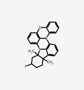 CC12CCC(F)CC1(C)N1c3cccc4c3B(c3ccccc3O4)c3cccc2c31